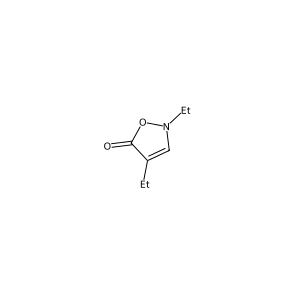 CCc1cn(CC)oc1=O